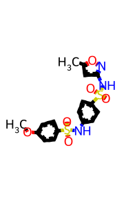 COc1ccc(S(=O)(=O)Nc2ccc(S(=O)(=O)Nc3cc(C)on3)cc2)cc1